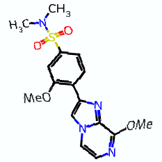 COc1cc(S(=O)(=O)N(C)C)ccc1-c1cn2ccnc(OC)c2n1